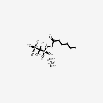 CCCCCC(=O)OOP(=O)([O-])C(Cl)(Cl)P(=O)([O-])[O-].[Na+].[Na+].[Na+]